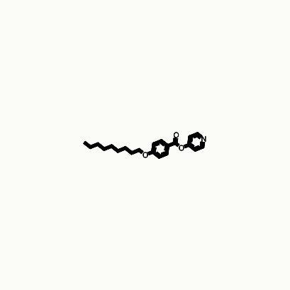 CCCCCCCCCOc1ccc(C(=O)Oc2ccncc2)cc1